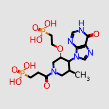 CC1CN(C(=O)CCP(=O)(O)O)C[C@H](OCCP(=O)(O)O)C1n1cnc2c(=O)[nH]cnc21